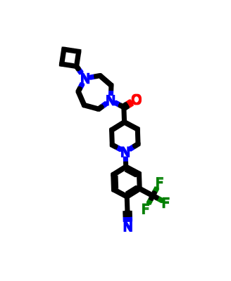 N#Cc1ccc(N2CCC(C(=O)N3CCCN(C4CCC4)CC3)CC2)cc1C(F)(F)F